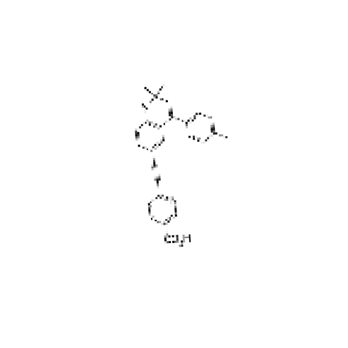 Cc1ccc(C2=CC(C)(C)Sc3ccc(C#Cc4ccc(C(=O)O)cn4)cc32)cc1